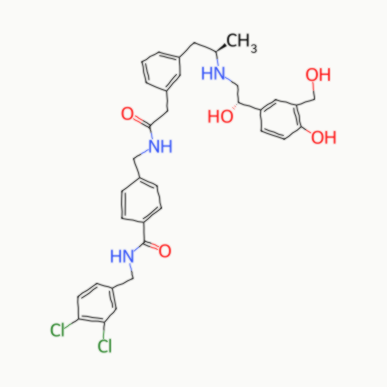 C[C@H](Cc1cccc(CC(=O)NCc2ccc(C(=O)NCc3ccc(Cl)c(Cl)c3)cc2)c1)NC[C@@H](O)c1ccc(O)c(CO)c1